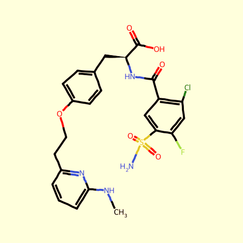 CNc1cccc(CCOc2ccc(C[C@H](NC(=O)c3cc(S(N)(=O)=O)c(F)cc3Cl)C(=O)O)cc2)n1